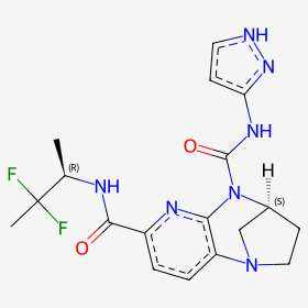 C[C@@H](NC(=O)c1ccc2c(n1)N(C(=O)Nc1cc[nH]n1)[C@H]1CCN2C1)C(C)(F)F